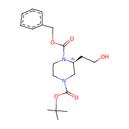 CC(C)(C)OC(=O)N1CCN(C(=O)OCc2ccccc2)[C@@H](CCO)C1